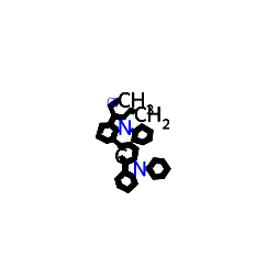 C=Cc1c(/C=C\C)c2cccc(-c3ccc4c(c3)c3ccccc3n4-c3ccccc3)c2n1-c1ccccc1